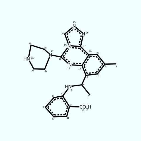 Cc1cc(C(C)Nc2ccccc2C(=O)O)c2nc(N3CCNCC3)n3cnnc3c2c1